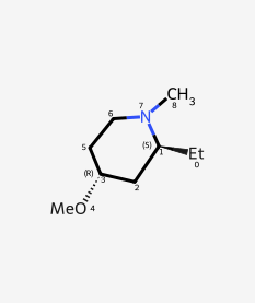 CC[C@H]1C[C@H](OC)CCN1C